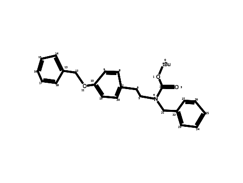 CC(C)(C)OC(=O)N(CCc1ccc(OCc2ccccc2)cc1)Cc1ccccc1